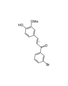 COc1cc(/C=C/C(=O)c2cccc(Br)c2)ccc1O